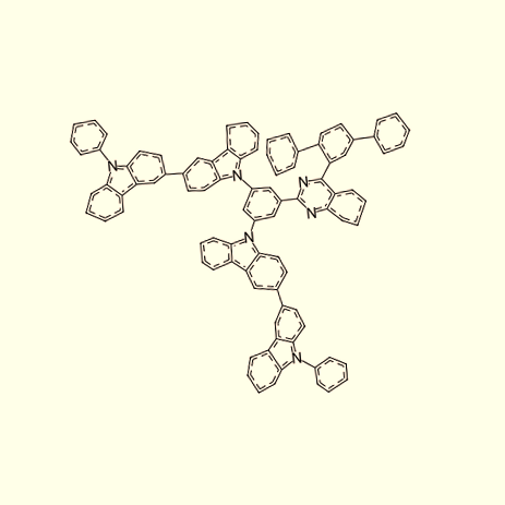 c1ccc(-c2ccc(-c3ccccc3)c(-c3nc(-c4cc(-n5c6ccccc6c6cc(-c7ccc8c(c7)c7ccccc7n8-c7ccccc7)ccc65)cc(-n5c6ccccc6c6cc(-c7ccc8c(c7)c7ccccc7n8-c7ccccc7)ccc65)c4)nc4ccccc34)c2)cc1